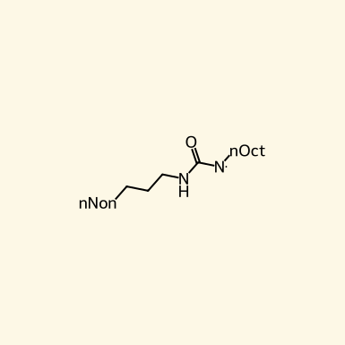 CCCCCCCCCCCCNC(=O)[N]CCCCCCCC